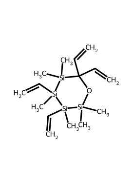 C=CC1(C=C)O[Si](C)(C)[Si](C)(C=C)[Si](C)(C=C)[Si]1(C)C